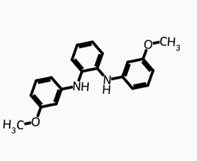 COc1cccc(Nc2ccccc2Nc2cccc(OC)c2)c1